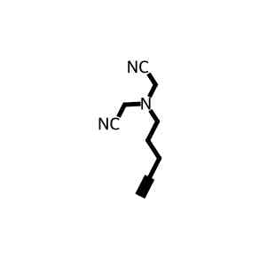 C#CCCCN(CC#N)CC#N